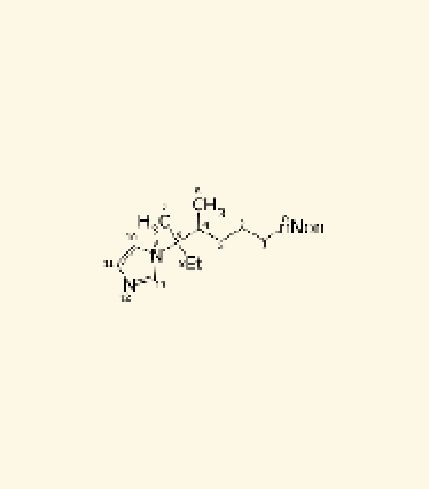 CCCCCCCCCCCCC(C)C(C)(CC)n1ccnc1